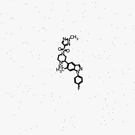 CCN1CCN(S(=O)(=O)c2cnn(C)n2)CC1c1cc2cnn(-c3ccc(F)cc3)c2cc1C